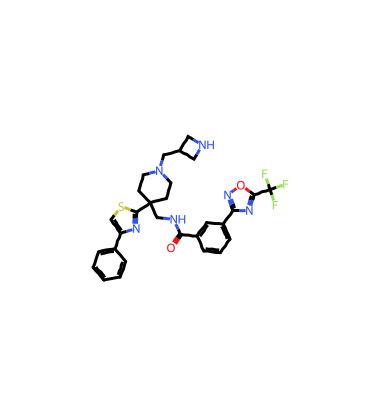 O=C(NCC1(c2nc(-c3ccccc3)cs2)CCN(CC2CNC2)CC1)c1cccc(-c2noc(C(F)(F)F)n2)c1